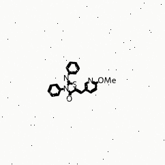 COc1ccc(/C=C2\S/C(=N\c3ccccc3)N(c3ccccc3)C2=O)cn1